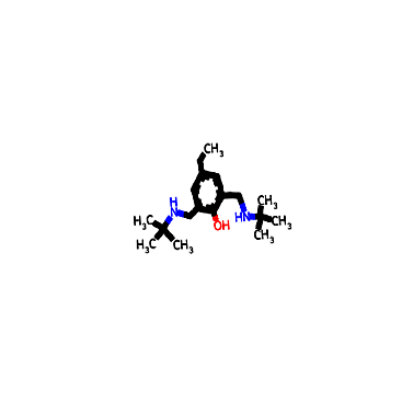 CCc1cc(CNC(C)(C)C)c(O)c(CNC(C)(C)C)c1